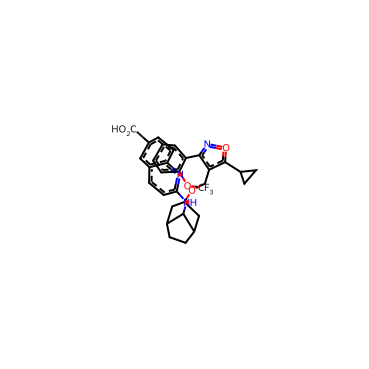 O=C(O)c1ccc2nc(NC3C4CCC3CC(OCc3c(-c5ccccc5OC(F)(F)F)noc3C3CC3)C4)ccc2c1